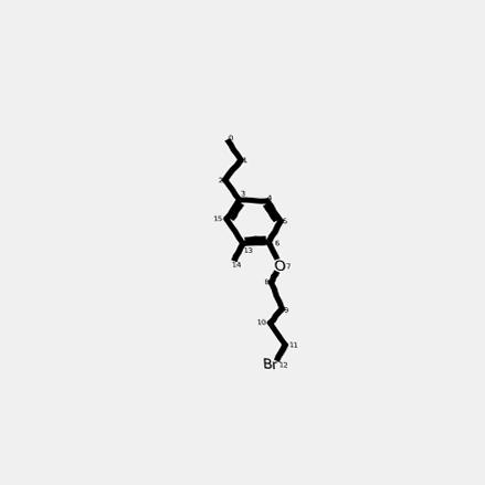 CCCc1ccc(OCCCCBr)c(C)c1